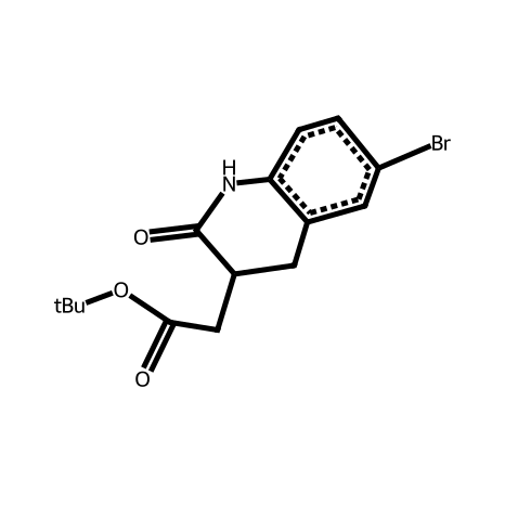 CC(C)(C)OC(=O)CC1Cc2cc(Br)ccc2NC1=O